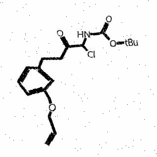 C=CCOc1cccc(CCC(=O)C(Cl)NC(=O)OC(C)(C)C)c1